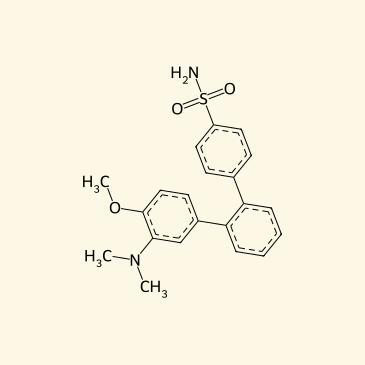 COc1ccc(-c2ccccc2-c2ccc(S(N)(=O)=O)cc2)cc1N(C)C